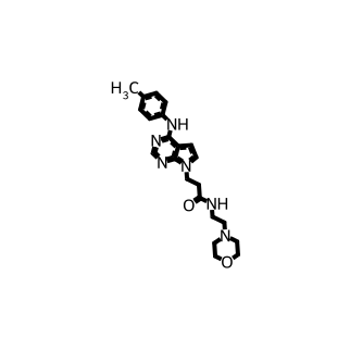 Cc1ccc(Nc2ncnc3c2ccn3CCC(=O)NCCN2CCOCC2)cc1